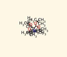 CN(C)C(C(OC(C)(C)C)OC(C)(C)C)C(OC(C)(C)C)OC(C)(C)C